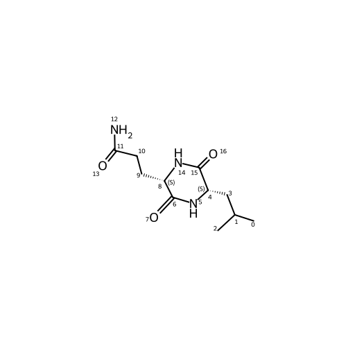 CC(C)C[C@@H]1NC(=O)[C@H](CCC(N)=O)NC1=O